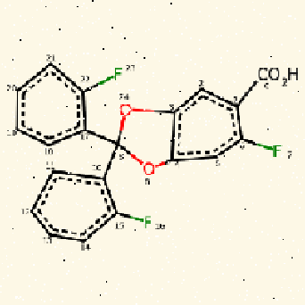 O=C(O)c1cc2c(cc1F)OC(c1ccccc1F)(c1ccccc1F)O2